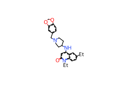 CCc1ccc2c(c1)c(NC1CCN(Cc3ccc4c(c3)OCO4)CC1)cc(=O)n2CC